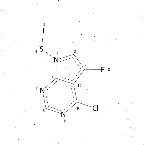 Fc1cn(SI)c2ncnc(Cl)c12